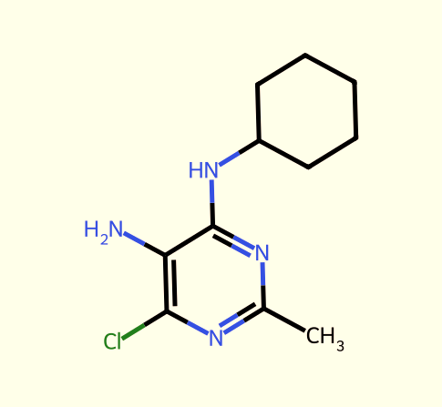 Cc1nc(Cl)c(N)c(NC2CCCCC2)n1